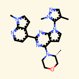 Cc1cnn(C)c1-n1ccc2c(N3CCOC[C@H]3C)nc(-c3ccnc4c3ccn4C)nc21